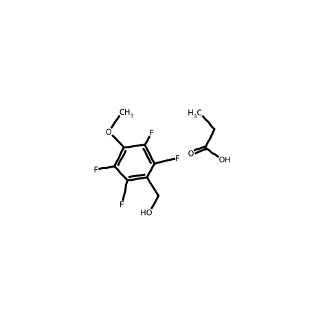 CCC(=O)O.COc1c(F)c(F)c(CO)c(F)c1F